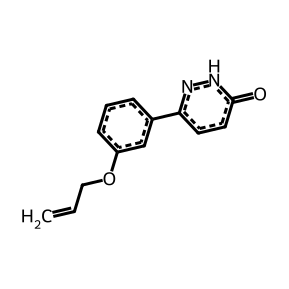 C=CCOc1cccc(-c2ccc(=O)[nH]n2)c1